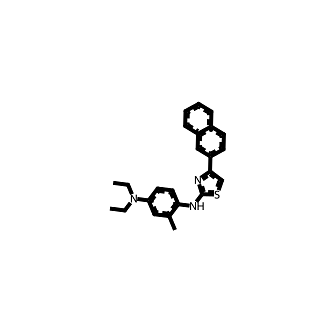 CCN(CC)c1ccc(Nc2nc(-c3ccc4ccccc4c3)cs2)c(C)c1